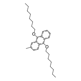 CCCCCCCCOc1c2ccccc2c(OCCCCCCCC)c2cc(C)ccc12